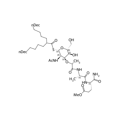 CCCCCCCCCCCCCCC(CCCCCCCCCCCCCC)C(=O)S[C@@H]1O[C@H](CO)[C@@H](O)[C@@H](OC(C)C(=O)N[C@@H](C)C(=O)N[C@@H](CCC(=O)OC)C(N)=O)[C@H]1NC(C)=O